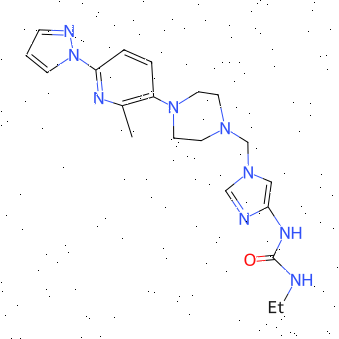 CCNC(=O)Nc1cn(CN2CCN(c3ccc(-n4cccn4)nc3C)CC2)cn1